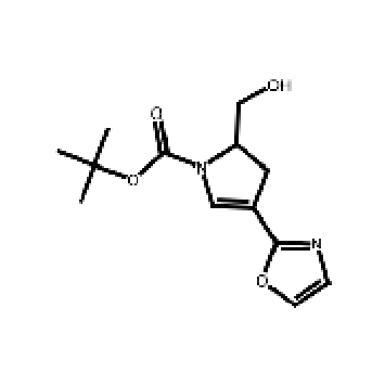 CC(C)(C)OC(=O)N1C=C(c2ncco2)CC1CO